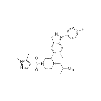 Cc1cc2c(cnn2-c2ccc(F)cc2)cc1C1CN(S(=O)(=O)c2cnn(C)c2C)CCN1CC(C)C(F)(F)F